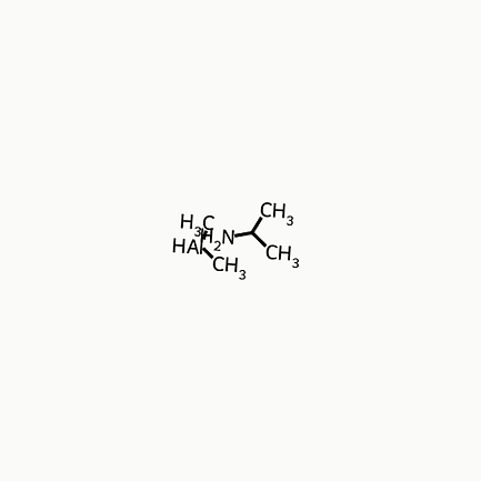 CC(C)N.[CH3][AlH][CH3]